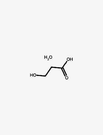 O.O=C(O)CCO